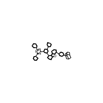 c1ccc(-c2cc(-c3nc(-c4ccccc4)nc(-c4ccccc4)n3)cc(-c3cccc4oc5c(-c6ccc(C78CC9CC(CC(C9)C7)C8)cc6)cccc5c34)c2)cc1